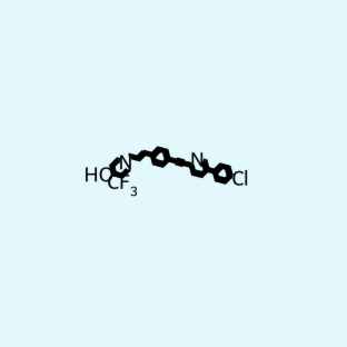 OC1(C(F)(F)F)CCN(CC=Cc2ccc(C#Cc3ccc(-c4ccc(Cl)cc4)cn3)cc2)CC1